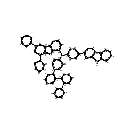 c1ccc(-c2cc(-c3ccccc3)c3sc4c(N(c5ccc(-c6ccc7c(c6)sc6ccccc67)cc5)c5ccc(-c6ccccc6-c6ccccc6-c6ccccc6)cc5)cccc4c3c2)cc1